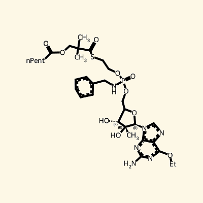 CCCCCC(=O)OCC(C)(C)C(=O)SCCOP(=O)(NCc1ccccc1)OCC1O[C@@H](n2cnc3c(OCC)nc(N)nc32)[C@](C)(O)[C@@H]1O